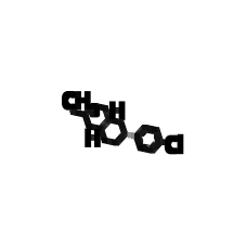 CCC1CC[C@@H]2C[C@H](c3ccc(Cl)cc3)CC[C@@H]2C1